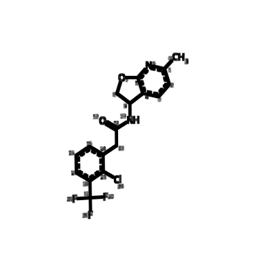 Cc1ccc2c(n1)OCC2NC(=O)Cc1cccc(C(F)(F)F)c1Cl